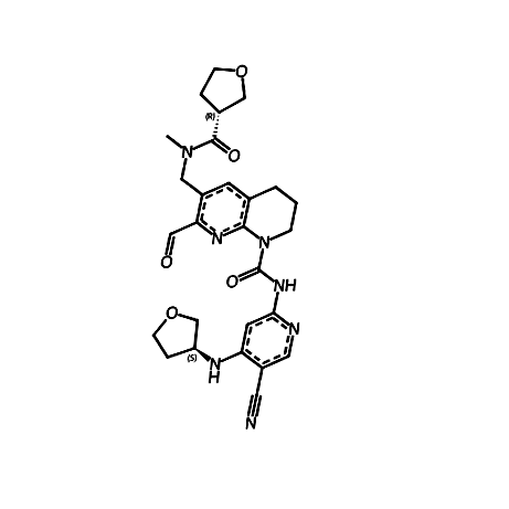 CN(Cc1cc2c(nc1C=O)N(C(=O)Nc1cc(N[C@H]3CCOC3)c(C#N)cn1)CCC2)C(=O)[C@@H]1CCOC1